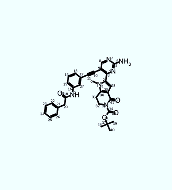 Cn1c(-c2nc(N)ncc2C#Cc2cccc(NC(=O)Cc3ccccc3)c2)cc2c1CCN(C(=O)OC(C)(C)C)C2=O